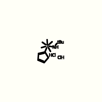 CC(C)(C)[NH][Ti]([CH3])([CH3])([CH3])([CH3])([CH3])[C]1=CC=CC1.Cl.Cl